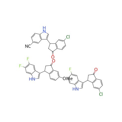 COc1ccc2c(c1)C(=O)CC2c1c[nH]c2cc(F)c(F)cc12.N#Cc1ccc2[nH]cc(C3CC(=O)c4ccc(Cl)cc43)c2c1.O=C1CC(c2c[nH]c3ccc(F)cc23)c2cc(Cl)ccc21